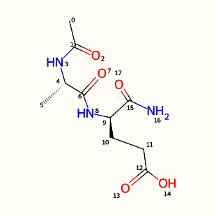 CC(=O)N[C@@H](C)C(=O)N[C@H](CCC(=O)O)C(N)=O